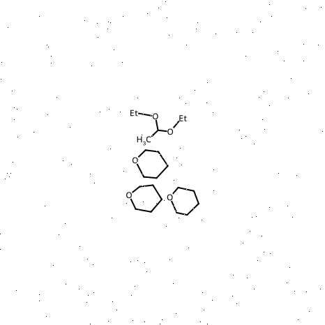 C1CCOCC1.C1CCOCC1.C1CCOCC1.CCOC(C)OCC